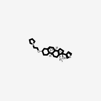 C[C@]12CC[C@H]3[C@@H](CC=C4C[C@@H](OCCN5CCCC5)CC[C@@]43C)[C@@]1(O)CC[C@]2(O)c1ccsc1